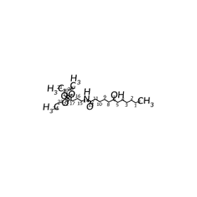 CCCCCCC(O)CCCCC(=O)NCCC[Si](OCC)(OCC)OCC